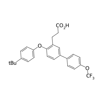 CC(C)(C)c1ccc(Oc2ccc(-c3ccc(OC(F)(F)F)cc3)cc2CCC(=O)O)cc1